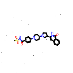 CS(=O)(=O)NC(=O)c1ccc(N2CCC(N3CCC(c4cc5ccccc5c(=O)[nH]4)C3)CC2)cc1